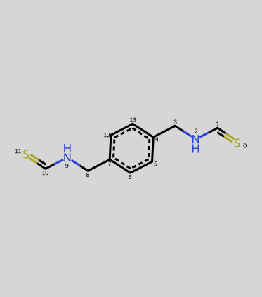 S=CNCc1ccc(CNC=S)cc1